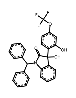 O=C1N(C(c2ccccc2)c2ccccc2)c2ccccc2C1(O)c1ccc(OC(F)(F)F)cc1O